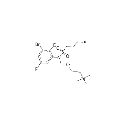 C[Si](C)(C)CCOCN(c1cc(F)cc(Br)c1Cl)S(=O)(=O)CCCF